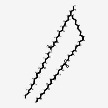 CCCCCCCC/C=C\CCCCCCCCOC(=O)CCCCCCCCCCCCCCCC.CCCCCCCCCCCCCCCCCCOC(=O)CCCCCCCCCCCCCCCC